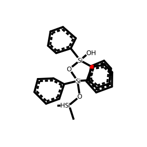 C[SiH](C)O[Si](O[Si](O)(c1ccccc1)c1ccccc1)(c1ccccc1)c1ccccc1